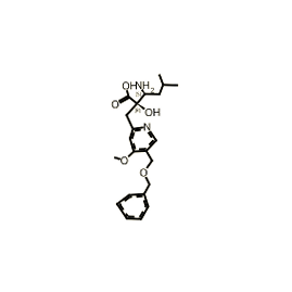 COc1cc(C[C@](O)(C(=O)O)[C@@H](N)CC(C)C)ncc1COCc1ccccc1